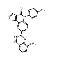 C[C@H](NC(=O)c1ccc2c(c1)c1sccc1c(=O)n2-c1ccc(C(F)(F)F)cc1)c1cccc(N)n1